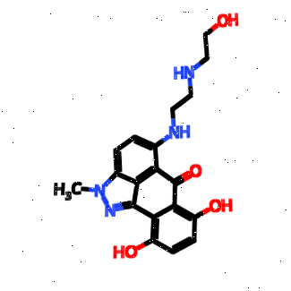 Cn1nc2c3c(c(NCCNCCO)ccc31)C(=O)c1c(O)ccc(O)c1-2